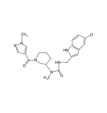 CN(C(=O)NCc1cc2cc(Cl)ccc2[nH]1)C1CCCN(C(=O)c2cnn(C)c2)C1